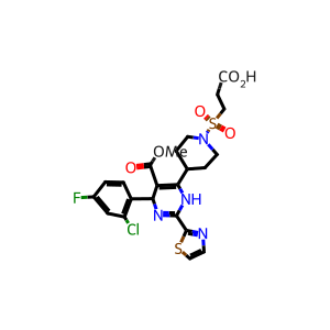 COC(=O)C1=C(C2CCN(S(=O)(=O)CCC(=O)O)CC2)NC(c2nccs2)=NC1c1ccc(F)cc1Cl